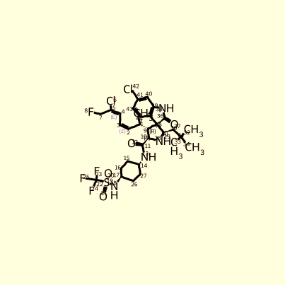 CC(/C=C\C=C(\Cl)CF)[C@H]1[C@H](C(=O)N[C@H]2CC[C@H](NS(=O)(=O)C(F)(F)F)CC2)N[C@H](CC(C)(C)C)[C@]12C(=O)Nc1cc(Cl)ccc12